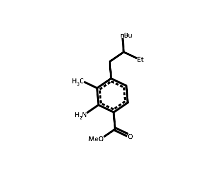 CCCCC(CC)Cc1ccc(C(=O)OC)c(N)c1C